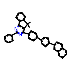 CC1(C)c2ccccc2-c2nc(-c3ccccc3)nc(-c3ccc(-c4ccc(-c5ccc6ccccc6c5)cc4)cc3)c21